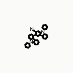 N#Cc1cc2c(cc1-c1cccc3c1c1ccccc1n3-c1ccccc1)c1ccccc1n2-c1ccccc1